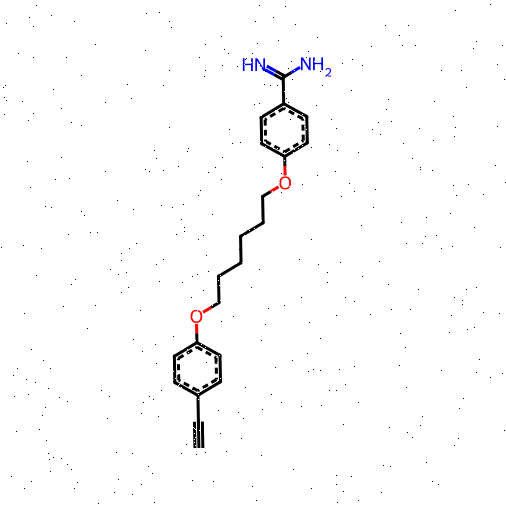 C#Cc1ccc(OCCCCCCOc2ccc(C(=N)N)cc2)cc1